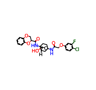 O=C(COc1ccc(Cl)c(F)c1)NC12CCC(NC(=O)C3COc4ccccc4O3)(CC1)[C@@H](O)C2